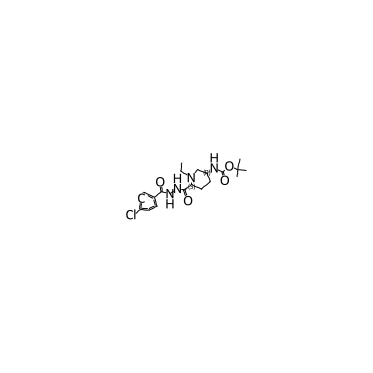 CCN1C[C@H](NC(=O)OC(C)(C)C)CC[C@H]1C(=O)NNC(=O)c1ccc(Cl)cc1